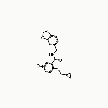 O=C(NCc1ccc2c(c1)OCO2)c1c[n+]([O-])ccc1OCC1CC1